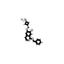 N[C@H]1C[C@@H](COc2cc3ccnc(OCc4ccccc4)c3cc2Cl)C1